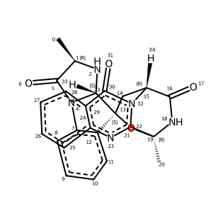 C[C@H]1N[C@H]2N(C1=O)c1ccccc1[C@@]21C[C@@H]2C(=O)N[C@](C)(O1)c1nc3ccccc3c(=O)n12